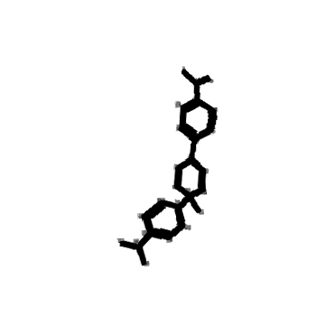 CC(C)c1ccc(C2C=CC(C)(c3ccc(C(C)C)cc3)C=C2)cc1